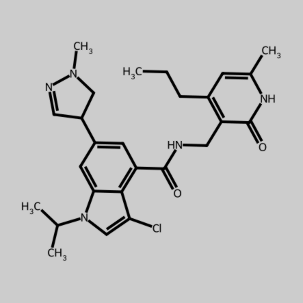 CCCc1cc(C)[nH]c(=O)c1CNC(=O)c1cc(C2C=NN(C)C2)cc2c1c(Cl)cn2C(C)C